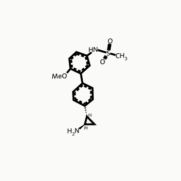 COc1ccc(NS(C)(=O)=O)cc1-c1ccc([C@@H]2C[C@H]2N)cc1